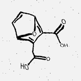 O=C(O)c1c(C(=O)O)c2ccc1o2